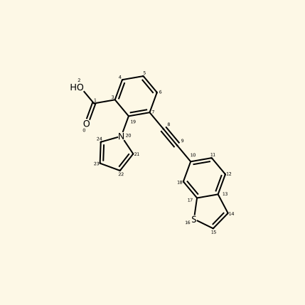 O=C(O)c1cccc(C#Cc2ccc3ccsc3c2)c1-n1cccc1